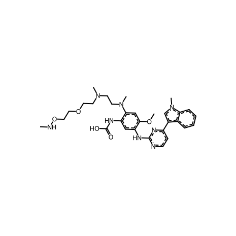 CNOCCOCCN(C)CCN(C)c1cc(OC)c(Nc2nccc(-c3cn(C)c4ccccc34)n2)cc1NC(=O)O